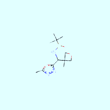 Cc1nnc(C(N[S+]([O-])C(C)(C)C)C2(C)COC2)o1